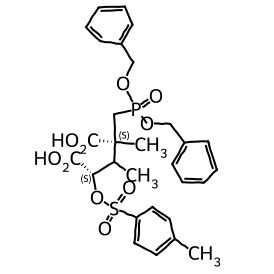 Cc1ccc(S(=O)(=O)O[C@H](C(=O)O)C(C)[C@](C)(CP(=O)(OCc2ccccc2)OCc2ccccc2)C(=O)O)cc1